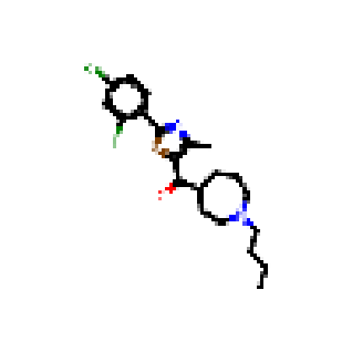 CCCCN1CCCC(C(=O)c2sc(-c3ccc(Cl)cc3F)nc2C)CC1